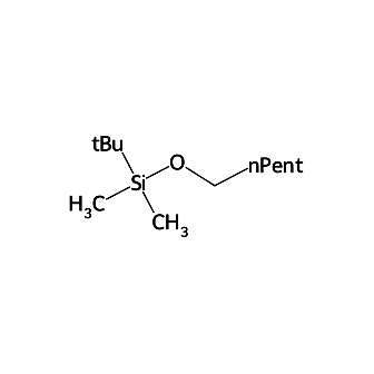 [CH2]CCCCCO[Si](C)(C)C(C)(C)C